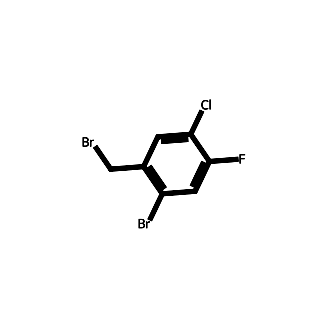 Fc1cc(Br)c(CBr)cc1Cl